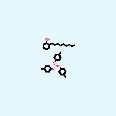 CCCCCCCCCc1ccccc1O.Cc1ccc(OP(Oc2ccc(C)cc2)Oc2ccc(C)cc2)cc1